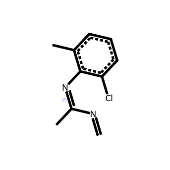 C=N/C(C)=N\c1c(C)cccc1Cl